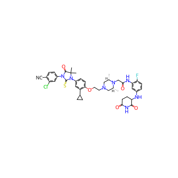 C[C@@H]1CN(CCOc2ccc(N3C(=S)N(c4ccc(C#N)c(Cl)c4)C(=O)C3(C)C)cc2C2CC2)C[C@H](C)N1CC(=O)Nc1cc(NC2CCC(=O)NC2=O)ccc1F